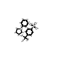 O=S(=O)([O-])c1ccc(C(F)(F)F)cc1.c1ccc([S+]2CCCC2)cc1